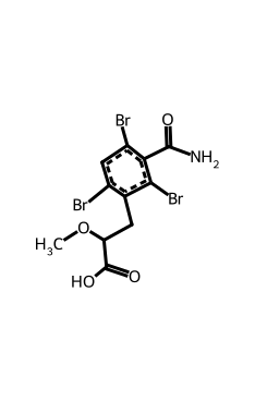 COC(Cc1c(Br)cc(Br)c(C(N)=O)c1Br)C(=O)O